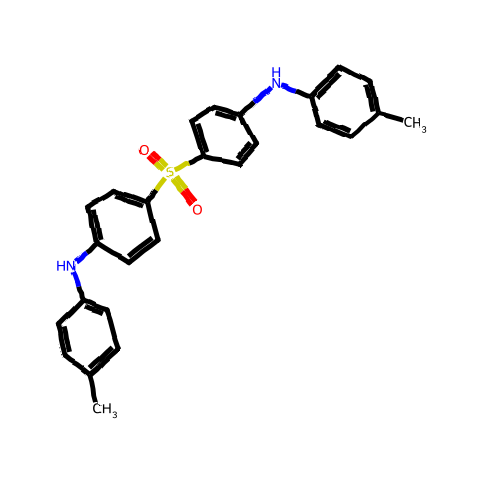 Cc1ccc(Nc2ccc(S(=O)(=O)c3ccc(Nc4ccc(C)cc4)cc3)cc2)cc1